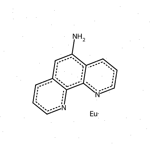 Nc1cc2cccnc2c2ncccc12.[Eu]